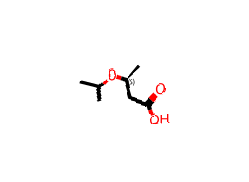 CC(C)O[C@@H](C)CC(=O)O